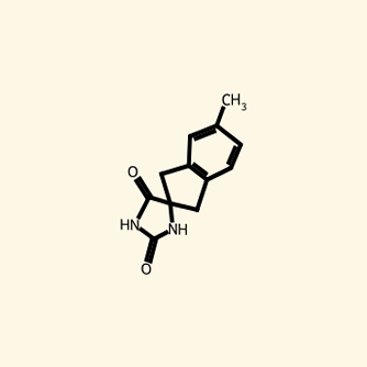 Cc1ccc2c(c1)CC1(C2)NC(=O)NC1=O